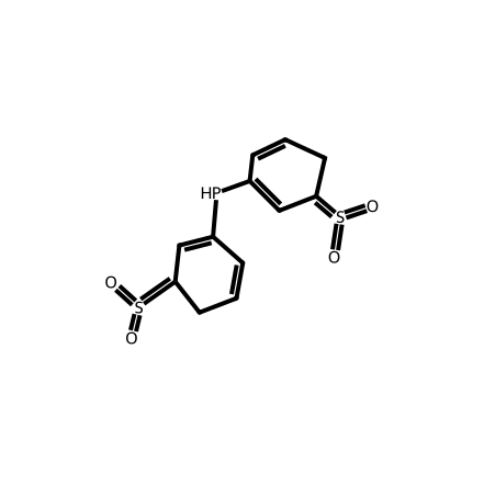 O=S(=O)=C1C=C(PC2=CC(=S(=O)=O)CC=C2)C=CC1